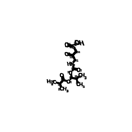 CC(C)C(=O)O[C@@H](OC(=O)NCC(=O)CS(=O)O)C(C)C